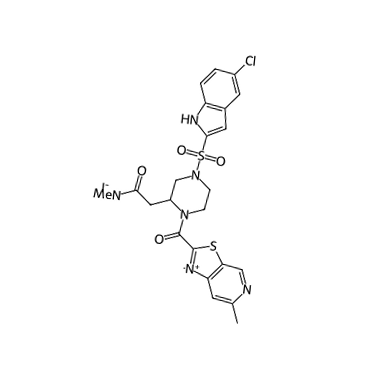 CNC(=O)CC1CN(S(=O)(=O)c2cc3cc(Cl)ccc3[nH]2)CCN1C(=O)C1=[N+]c2cc(C)ncc2S1.[I-]